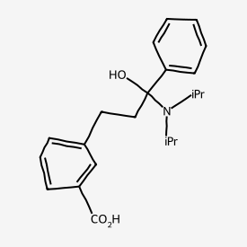 CC(C)N(C(C)C)C(O)(CCc1cccc(C(=O)O)c1)c1ccccc1